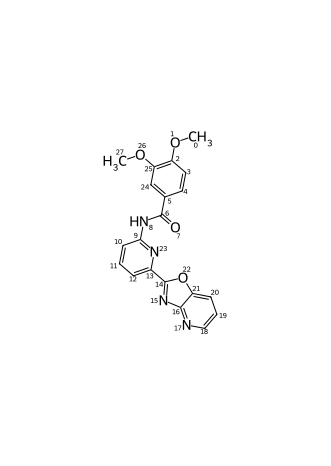 COc1ccc(C(=O)Nc2cccc(-c3nc4ncccc4o3)n2)cc1OC